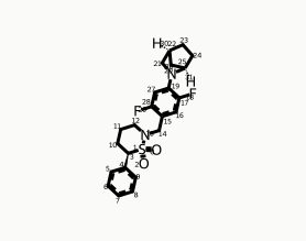 O=S1(=O)[C@@H](c2ccccc2)CCCN1Cc1cc(F)c(N2C[C@H]3CC[C@@H]2C3)cc1F